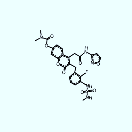 CNS(=O)(=O)Nc1cccc(Cc2c(CC(=O)Nc3ccon3)c3ccc(OC(=O)N(C)C)cc3oc2=O)c1F